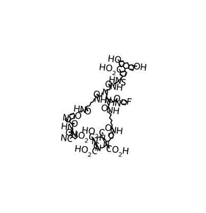 N#CC1CCCN1C(=O)CNC(=O)c1ccnc2ccc(OCCNC(=O)CCCCCNC(=O)CCN(CCC(=O)NCCNC(=S)c3ccc(C4c5ccc(O)cc5Cc5cc(O)ccc54)c(C(=O)O)c3)CCN(CCC(=O)NCCCCCCC(=O)Nc3ccc(CC4CN(CC(=O)O)CCN(CC(=O)O)CCN(CC(=O)O)CCN4CC(=O)O)cc3)CCC(=O)Nc3ccc(F)cc3)cc12